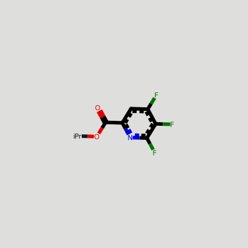 CC(C)OC(=O)c1cc(F)c(F)c(F)n1